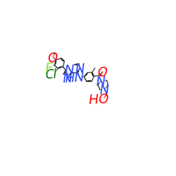 COc1ccc(-c2cnc3c(Nc4ccc(C(=O)N5CCN(CO)CC5)c(C)c4)nccn23)c(Cl)c1F